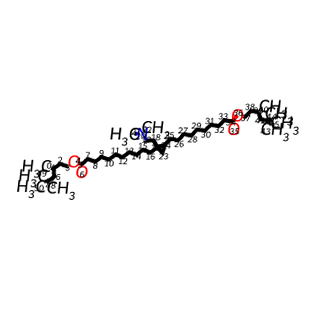 CC(CCOC(=O)CCCCCCCCCCC1(CCN(C)C)CC1CCCCCCCCCC(=O)OCCC(C)CC(C)(C)C)CC(C)(C)C